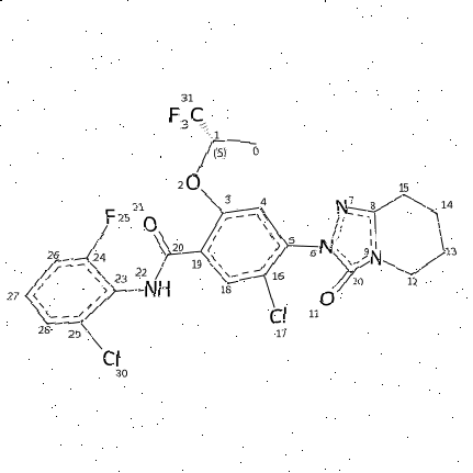 C[C@H](Oc1cc(-n2nc3n(c2=O)CCCC3)c(Cl)cc1C(=O)Nc1c(F)cccc1Cl)C(F)(F)F